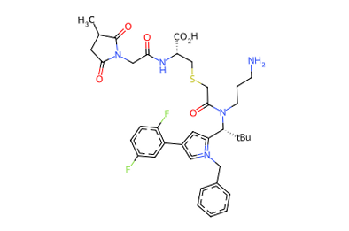 CC1CC(=O)N(CC(=O)N[C@@H](CSCC(=O)N(CCCN)[C@@H](c2cc(-c3cc(F)ccc3F)cn2Cc2ccccc2)C(C)(C)C)C(=O)O)C1=O